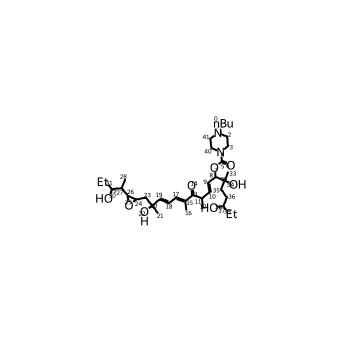 CCCCN1CCN(C(=O)OC(/C=C/C(C)C(=O)/C(C)=C/C=C/C(C)(O)CC2OC2C(C)C(O)CC)C(C)(O)CCC(O)CC)CC1